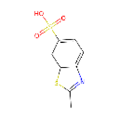 CC1=NC2=CC=C(S(=O)(=O)O)CC2S1